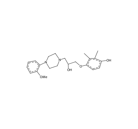 COc1ccccc1N1CCN(CC(O)COc2ccc(O)c(C)c2C)CC1